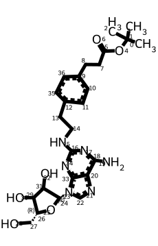 CC(C)(C)OC(=O)CCc1ccc(CCNc2nc(N)c3ncn([C@@H]4O[C@H](CO)C(O)C4O)c3n2)cc1